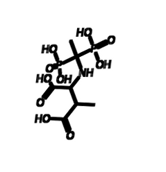 CC(C(=O)O)C(NC(C)(P(=O)(O)O)P(=O)(O)O)C(=O)O